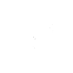 CC(C)(C)[S@@+]([O-])N=CC1CCCC(F)(F)C1